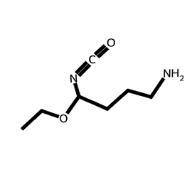 CCOC(CCCN)N=C=O